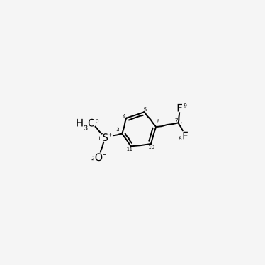 C[S+]([O-])c1ccc([C](F)F)cc1